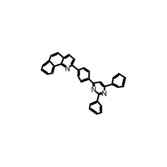 c1ccc(-c2cc(-c3ccc(-c4ccc5ccc6ccccc6c5n4)cc3)nc(-c3ccccc3)n2)cc1